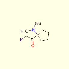 CN(C(C)(C)C)C1(C(=O)CI)CCCC1